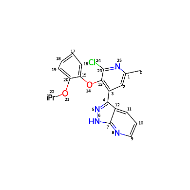 Cc1cc(-c2n[nH]c3ncccc23)c(Oc2ccccc2OC(C)C)c(Cl)n1